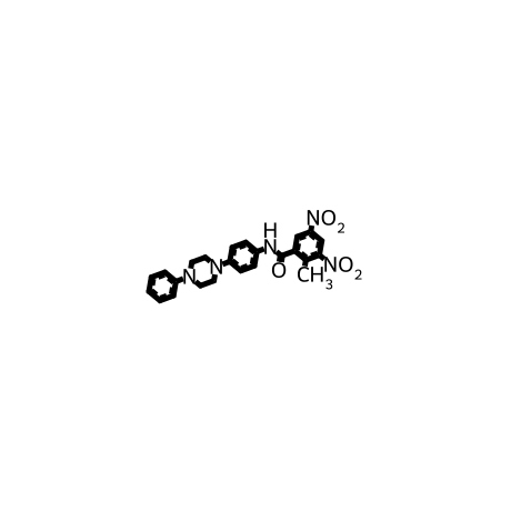 Cc1c(C(=O)Nc2ccc(N3CCN(c4ccccc4)CC3)cc2)cc([N+](=O)[O-])cc1[N+](=O)[O-]